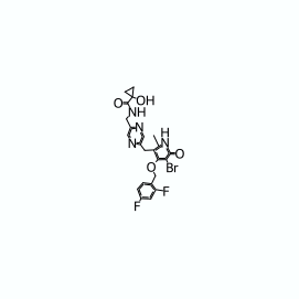 Cc1[nH]c(=O)c(Br)c(OCc2ccc(F)cc2F)c1Cc1cnc(CNC(=O)C2(O)CC2)cn1